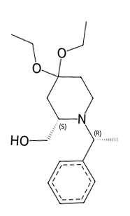 CCOC1(OCC)CCN([C@H](C)c2ccccc2)[C@H](CO)C1